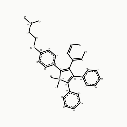 C/C=C\C(=C/C)C1=C(c2ccc(OCCN(C)C)cc2)S(C)(C)C(c2ccccc2)=C1c1ccccc1